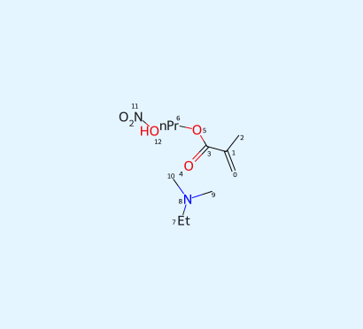 C=C(C)C(=O)OCCC.CCN(C)C.O=[N+]([O-])O